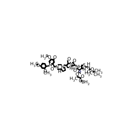 BOC(=O)[C@H](C)O/N=C(\C(=O)N[C@@H]1C(=O)N2C(C=O)=C(C[N+]34CCC[C@H]3CN(C(=O)c3cc(=O)c(OP)cn3Cc3ccc(OC)cc3OC)CC4)CS[C@H]12)c1csc(NC(=O)OC(C)(C)C)n1